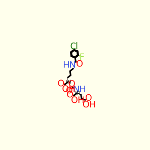 O=C(O)CC[C@H](NC(=O)O[C@@H](CCCCNC(=O)c1ccc(Cl)cc1F)C(=O)O)C(=O)O